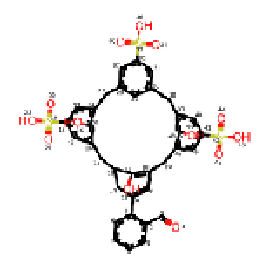 O=Cc1ccccc1C1=CC2=C(O)C(C1)Cc1cc(S(=O)(=O)O)cc(c1O)Cc1cc(cc(S(=O)(=O)O)c1)Cc1cc(S(=O)(=O)O)cc(c1O)C2